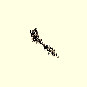 CN[C@@H]1CCc2ccc(OCC(=O)NCCCCNC(=O)COc3cccc4c3C(=O)N(C3CCC(=O)NC3=O)C4=O)cc21